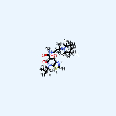 [2H]c1nc2c(O)c(C(=O)N([2H])CCC([2H])([2H])N3C([2H])([2H])C([2H])([2H])C([2H])([2H])C([2H])(C)C3([2H])[2H])c(=O)n(C([2H])(C)C([2H])([2H])[2H])c2s1